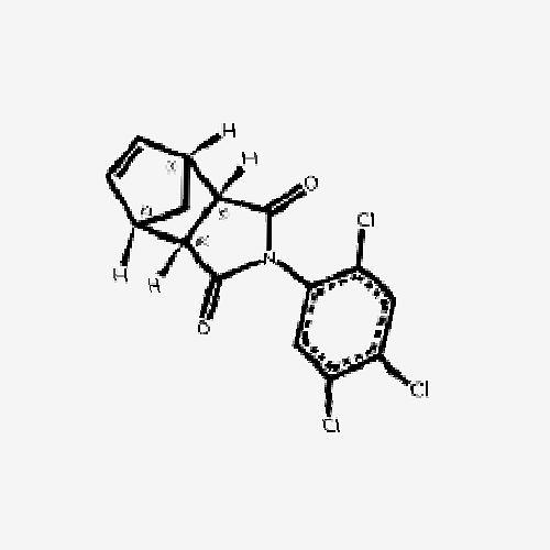 O=C1[C@@H]2[C@H](C(=O)N1c1cc(Cl)c(Cl)cc1Cl)[C@@H]1C=C[C@H]2C1